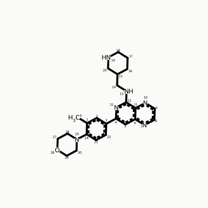 Cc1cc(-c2cc3nccnc3c(NCC3CCCNC3)n2)ccc1N1CCOCC1